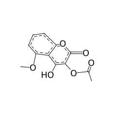 COc1cccc2oc(=O)c(OC(C)=O)c(O)c12